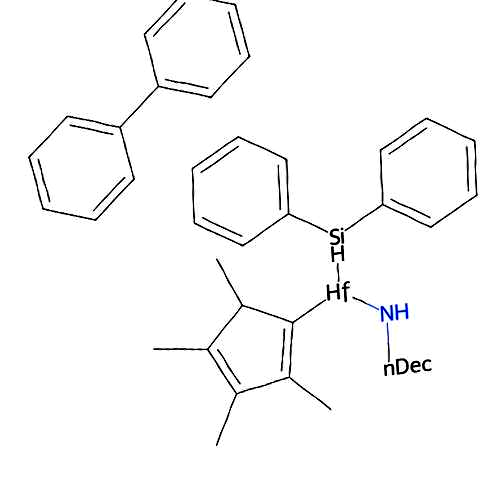 CCCCCCCCCC[NH][Hf]([C]1=C(C)C(C)=C(C)C1C)[SiH](c1ccccc1)c1ccccc1.c1ccc(-c2ccccc2)cc1